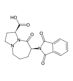 O=C(O)[C@@H]1CCN2CCC[C@H](N3C(=O)c4ccccc4C3=O)C(=O)N12